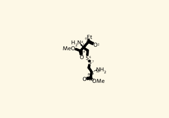 CCC(=O)[C@](N)(CSSC[C@H](N)C(=O)OC)C(=O)OC